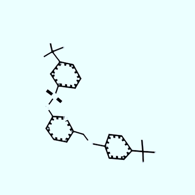 O=S(=O)(Nc1cccc(COc2ccc(C(F)(F)F)cc2)n1)c1cccc(C(F)(F)F)c1